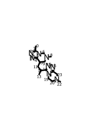 Cc1nnc2n1CN(C)CC2CC(C)c1nnc2n1CCN(C)C2